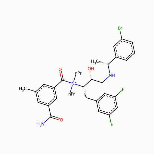 CCC[N+](CCC)(C(=O)c1cc(C)cc(C(N)=O)c1)[C@@H](Cc1cc(F)cc(F)c1)[C@H](O)CN[C@H](C)c1cccc(Br)c1